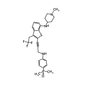 CN1CCC(Nc2cccc3c(CC(F)(F)F)c(C#CCNc4ccc(P(C)(C)=O)cc4)sc23)CC1